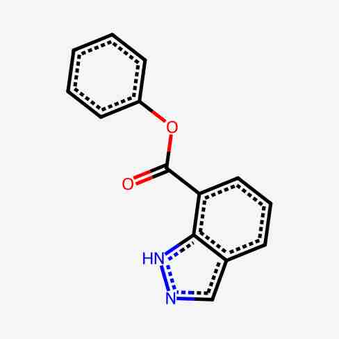 O=C(Oc1ccccc1)c1cccc2cn[nH]c12